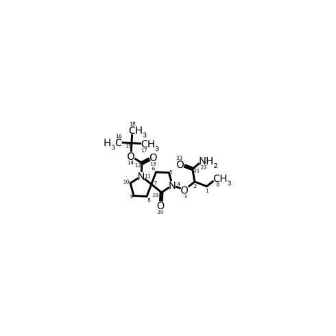 CCC(ON1CCC2(CCCN2C(=O)OC(C)(C)C)C1=O)C(N)=O